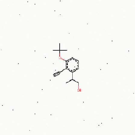 C#Cc1c(OC(C)(C)C)cccc1[C](C)CO